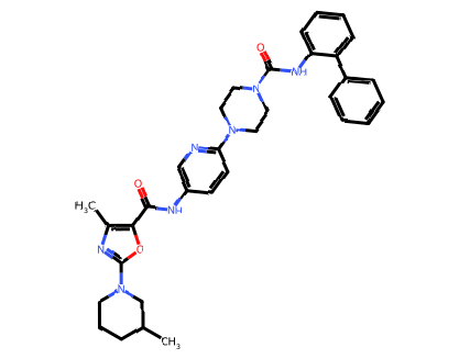 Cc1nc(N2CCCC(C)C2)oc1C(=O)Nc1ccc(N2CCN(C(=O)Nc3ccccc3-c3ccccc3)CC2)nc1